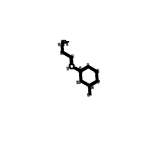 CC(C)CCOC1CCCC(C)C1